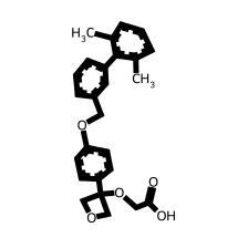 Cc1cccc(C)c1-c1cccc(COc2ccc(C3(OCC(=O)O)COC3)cc2)c1